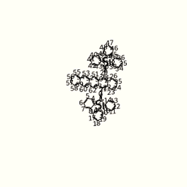 C(#C[Si](c1ccccc1)(c1ccccc1)c1ccccc1)c1c2ccccc2c(C#C[Si](c2ccccc2)(c2ccccc2)c2ccccc2)c2cc3cc4ccccc4cc3cc12